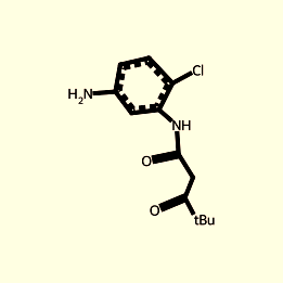 CC(C)(C)C(=O)CC(=O)Nc1cc(N)ccc1Cl